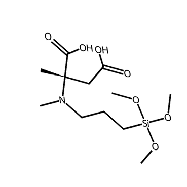 CO[Si](CCCN(C)[C@@](C)(CC(=O)O)C(=O)O)(OC)OC